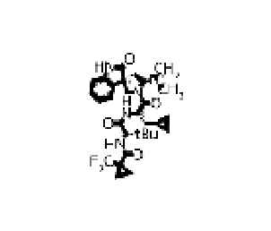 C=[N+](C)[C@@H]1C[C@@]2(CN1C(=O)[C@H](CC1CC1)NC(=O)[C@@H](NC(=O)C1(C(F)(F)F)CC1)C(C)(C)C)C(=O)Nc1ccccc12